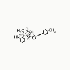 Cc1ccc(C#Cc2ccc(S(=O)(=O)N[C@@H](C(=O)O)C(C)c3c[nH]c4ccccc34)s2)cc1